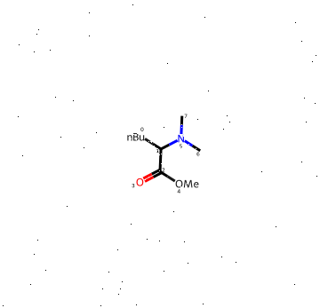 CCCCC(C(=O)OC)N(C)C